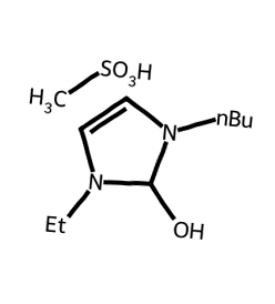 CCCCN1C=CN(CC)C1O.CS(=O)(=O)O